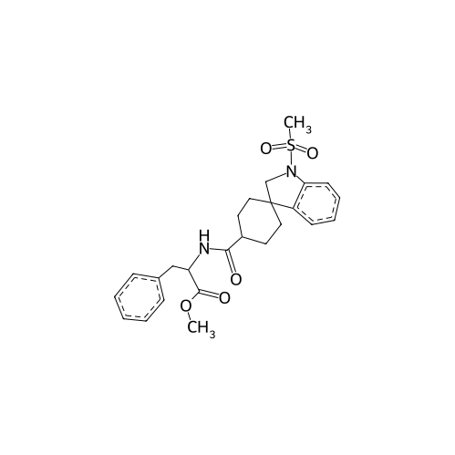 COC(=O)C(Cc1ccccc1)NC(=O)C1CCC2(CC1)CN(S(C)(=O)=O)c1ccccc12